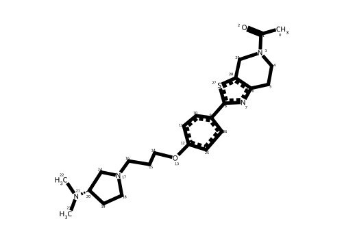 CC(=O)N1CCc2nc(-c3ccc(OCCCN4CC[C@H](N(C)C)C4)cc3)sc2C1